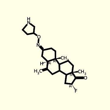 C=C1CC2C3C[C@@H](F)C(=O)[C@@]3(C)CCC2[C@@]2(C)CCC(=NOC3CCNC3)C[C@H]12